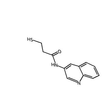 O=C(CCS)Nc1cnc2ccccc2c1